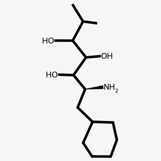 CC(C)C(O)C(O)C(O)[C@@H](N)CC1CCCCC1